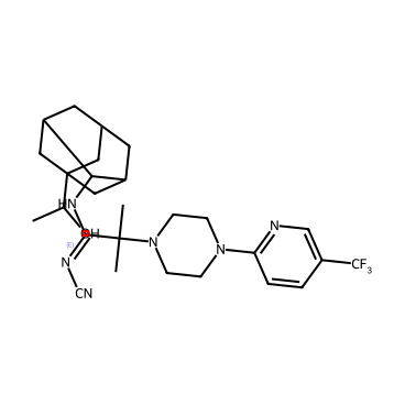 CC(O)C12CC3CC(C1)C(N/C(=N/C#N)C(C)(C)N1CCN(c4ccc(C(F)(F)F)cn4)CC1)C(C3)C2